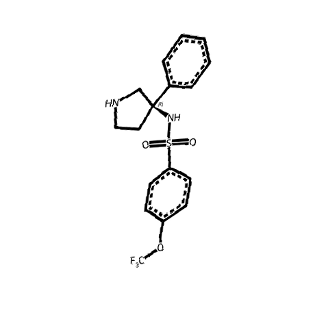 O=S(=O)(N[C@@]1(c2ccccc2)CCNC1)c1ccc(OC(F)(F)F)cc1